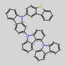 c1ccc2c(c1)sc1ccc(-n3c4ccccc4c4ccc(-n5c6ccccc6c6c(-n7c8ccccc8c8ccccc87)cccc65)cc43)cc12